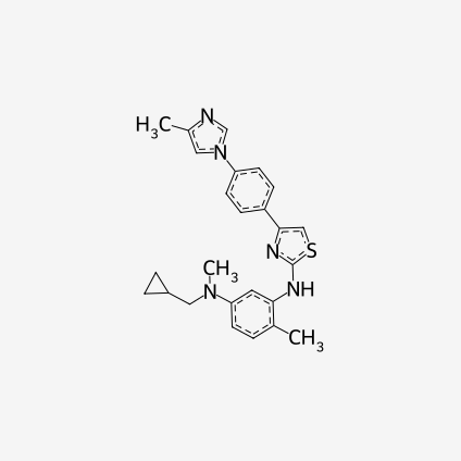 Cc1cn(-c2ccc(-c3csc(Nc4cc(N(C)CC5CC5)ccc4C)n3)cc2)cn1